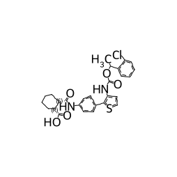 CC(OC(=O)Nc1ccsc1-c1ccc(NC(=O)[C@H]2CCCC[C@H]2C(=O)O)cc1)c1ccccc1Cl